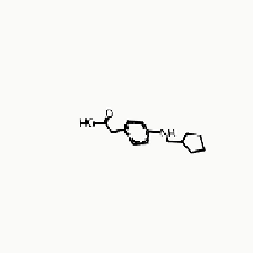 O=C(O)Cc1ccc(NCC2CCCC2)cc1